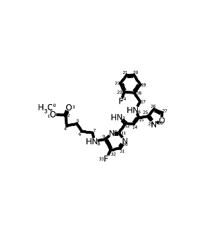 COC(=O)CCCCNc1nc(C(=N)/C=C(\NCc2ccccc2F)c2ccon2)ncc1F